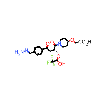 C[C@H](CC(=O)c1ccc(C=NN)cc1)C(=O)N1CCC(OCC(=O)O)CC1.O=C(O)C(F)(F)F